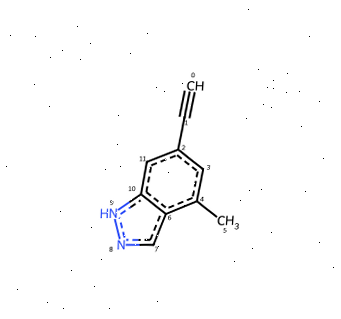 C#Cc1cc(C)c2cn[nH]c2c1